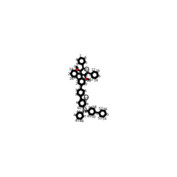 C=CC1=C(c2ccccc2)OC(c2ccccc2)=C(C=C)C12c1ccccc1-c1cc(-c3ccc4c(c3)oc3cc(N(c5ccccc5)c5ccc(-c6ccccc6)cc5)ccc34)ccc12